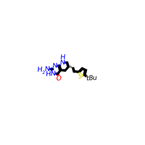 CC(C)(C)c1ccc(CC[C@H]2CNc3nc(N)[nH]c(=O)c3C2)s1